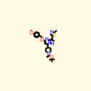 C=C(OC(C)(C)C)N1CCC(c2cc(OCc3ccc(OC)cc3)nc3c(-c4cnc(C)s4)cnn23)CC1